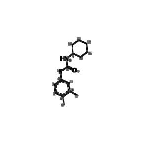 Cc1ccc(SC(=O)NC2CCCCC2)cc1C